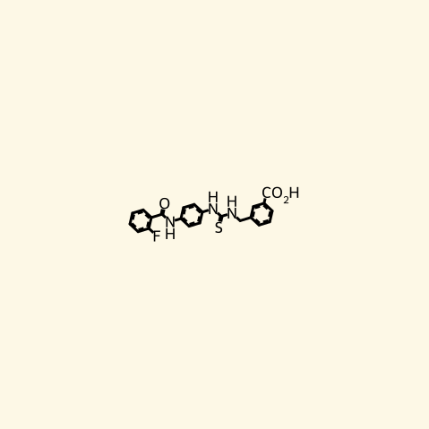 O=C(O)c1cccc(CNC(=S)Nc2ccc(NC(=O)c3ccccc3F)cc2)c1